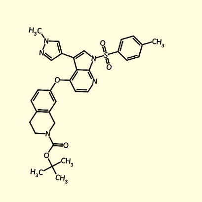 Cc1ccc(S(=O)(=O)n2cc(-c3cnn(C)c3)c3c(Oc4ccc5c(c4)CN(C(=O)OC(C)(C)C)CC5)ccnc32)cc1